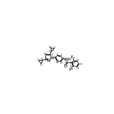 O=C(Nc1ccc(-n2nc(C3CC3)cc2C2CC2)cc1)c1c(F)cccc1F